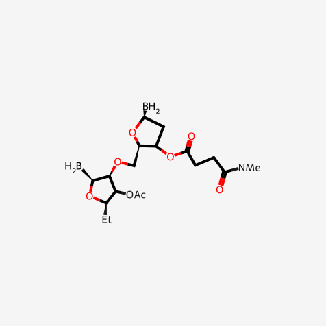 B[C@@H]1O[C@H](CC)C(OC(C)=O)[C@@H]1OC[C@H]1O[C@@H](B)CC1OC(=O)CCC(=O)NC